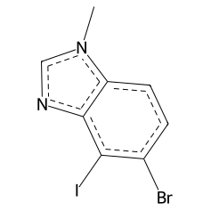 Cn1cnc2c(I)c(Br)ccc21